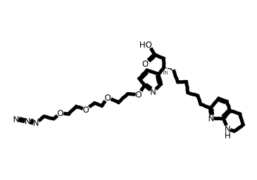 [N-]=[N+]=NCCOCCOCCOCCOc1ccc([C@@H](CCCCCCc2ccc3c(n2)NCCC3)CC(=O)O)cn1